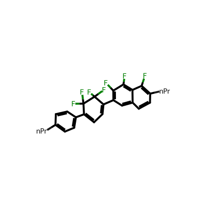 CCCc1ccc(C2=CC=C(c3cc4ccc(CCC)c(F)c4c(F)c3F)C(F)(F)C2(F)F)cc1